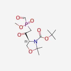 COP(=O)(C=O)CC(=O)[C@@H]1COC(C)(C)N1C(=O)OC(C)(C)C